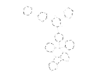 c1ccc(-c2ccc(-c3cc(-c4ccc(C5(c6ccccc6)c6ccccc6-n6c7ccccc7c7cccc5c76)cc4)nc(-c4ccccc4)n3)cc2)cc1